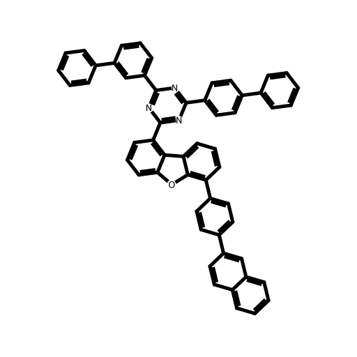 c1ccc(-c2ccc(-c3nc(-c4cccc(-c5ccccc5)c4)nc(-c4cccc5oc6c(-c7ccc(-c8ccc9ccccc9c8)cc7)cccc6c45)n3)cc2)cc1